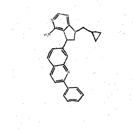 Nc1ncnc2c1C(c1ccc3ccc(-c4ccccc4)nc3c1)CN2CC1CC1